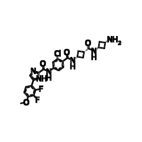 COc1ccc(-c2cnc(C(=O)Nc3ccc(C(=O)N[C@H]4C[C@@H](C(=O)N[C@H]5C[C@@H](N)C5)C4)c(Cl)c3)[nH]2)c(F)c1F